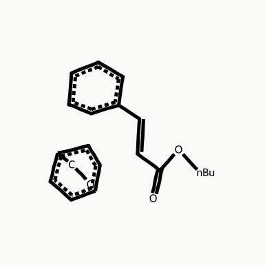 CCCCOC(=O)C=Cc1ccccc1.c1cc2ccc1CO2